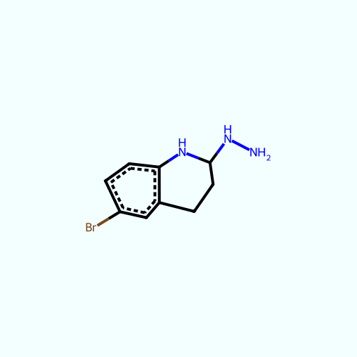 NNC1CCc2cc(Br)ccc2N1